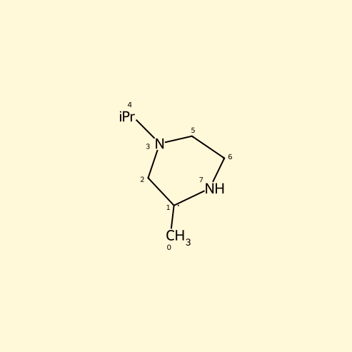 C[C]1CN(C(C)C)CCN1